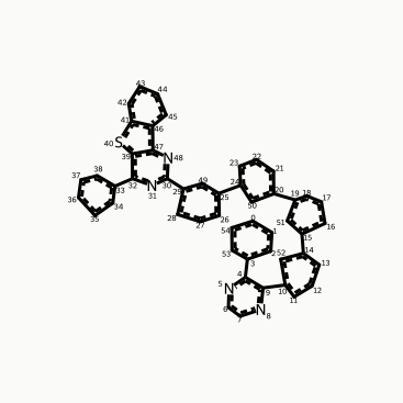 c1ccc(-c2nccnc2-c2cccc(-c3cccc(-c4cccc(-c5cccc(-c6nc(-c7ccccc7)c7sc8ccccc8c7n6)c5)c4)c3)c2)cc1